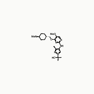 CN[C@H]1CC[C@H](COc2nc(Nc3cn(C(C)(C)C#N)nc3C)ncc2OC)CC1